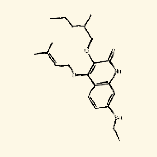 CCCC(C)COc1c(OCC=C(C)C)c2ccc(NCC)cc2[nH]c1=O